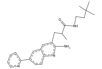 CC(Cc1cc2cc(-c3ccccn3)ccc2nc1N)C(=O)NCCC(C)(C)C